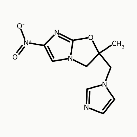 CC1(Cn2ccnc2)Cn2cc([N+](=O)[O-])nc2O1